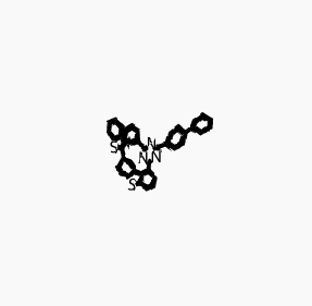 c1ccc(-c2ccc(-c3nc(-c4ccccc4)nc(-c4cccc5sc6ccc(-c7nc8ccccc8s7)cc6c45)n3)cc2)cc1